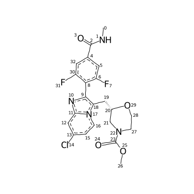 CNC(=O)c1cc(F)c(-c2nc3cc(Cl)ccn3c2C[C@H]2CN(C(=O)OC)CCO2)c(F)c1